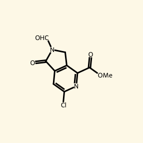 COC(=O)c1nc(Cl)cc2c1CN(C=O)C2=O